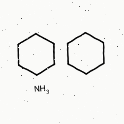 C1CCCCC1.C1CCCCC1.N